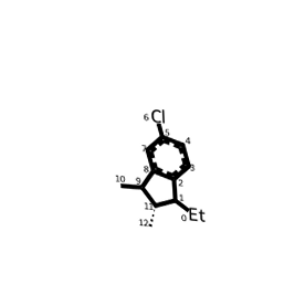 CCC1c2ccc(Cl)cc2C(C)[C@H]1C